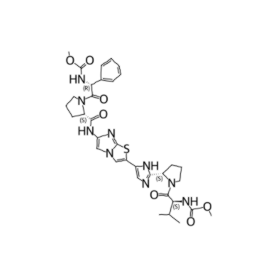 COC(=O)N[C@H](C(=O)N1CCC[C@H]1c1ncc(-c2cn3cc(NC(=O)[C@@H]4CCCN4C(=O)[C@H](NC(=O)OC)c4ccccc4)nc3s2)[nH]1)C(C)C